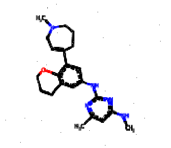 CNc1cc(C)nc(Nc2cc3c(c(C4=CCN(C)CCC4)c2)OCCC3)n1